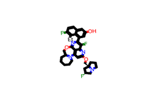 CCc1c(F)ccc2cc(O)cc(-c3nc4c5c(cc(OC[C@@]67CCCN6C[C@H](F)C7)nc5c3F)N3CCCCCC3CO4)c12